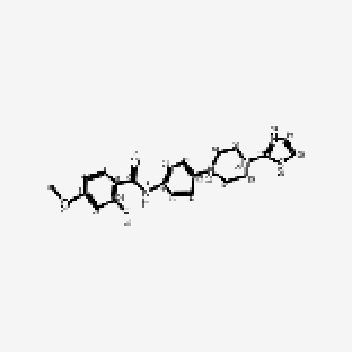 COc1ccc(C(=O)Nc2ccc(N3CCN(c4nccs4)CC3)cc2)c(F)c1